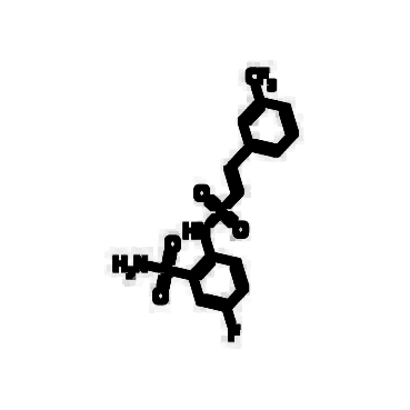 NS(=O)(=O)c1cc(F)ccc1NS(=O)(=O)/C=C/c1cccc(C(F)(F)F)c1